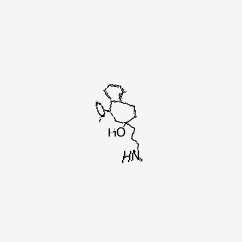 CNCCCC1(O)CCc2ccccc2C(OC)C1